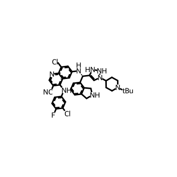 CC(C)(C)N1CCC(N2C=C([C@@H](Nc3cc(Cl)c4ncc(C#N)c(Nc5ccc(F)c(Cl)c5)c4c3)c3cccc4c3CNC4)NN2)CC1